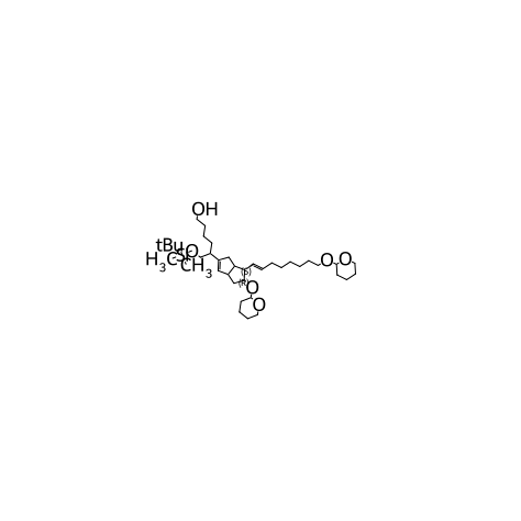 CC(C)(C)[Si](C)(C)OCC(CCCCO)C1=CC2C[C@@H](OC3CCCCO3)[C@H](C=CCCCCCCOC3CCCCO3)C2C1